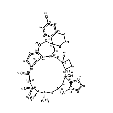 C[C@@H]1[C@@H](C)CCC[C@](O)(c2nccn2C)[C@@H]2CC[C@H]2CN2C[C@@]3(CCCc4cc(Cl)ccc43)COc3ccc(cc32)C(=O)NS1(=O)=O